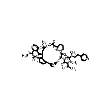 CCn1c(-c2cccnc2[C@H](C)OC)c2c3cc(ccc31)-c1csc(n1)C[C@H](NC(=O)C(C(C)C)N(C)C(=O)N(C)CCc1ccncc1)C(=O)N1CCC[C@H](N1)C(=O)OCC(C)(C)C2